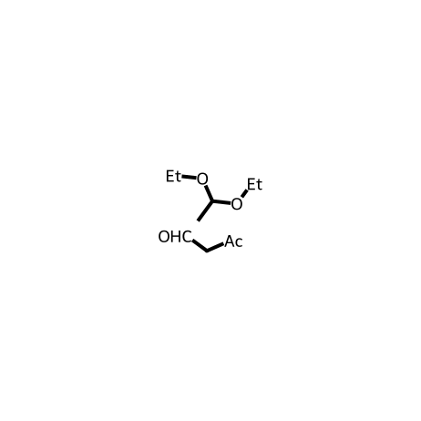 CC(=O)CC=O.CCOC(C)OCC